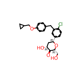 O=C1[C@H](O)C[C@H](c2ccc(Cl)c(Cc3ccc(OCC4CC4)cc3)c2)O[C@@H]1CO